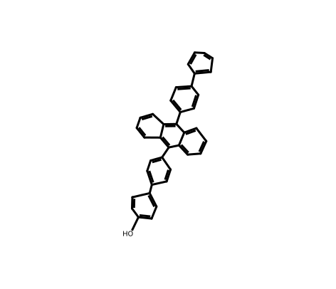 Oc1ccc(-c2ccc(-c3c4ccccc4c(-c4ccc(-c5ccccc5)cc4)c4ccccc34)cc2)cc1